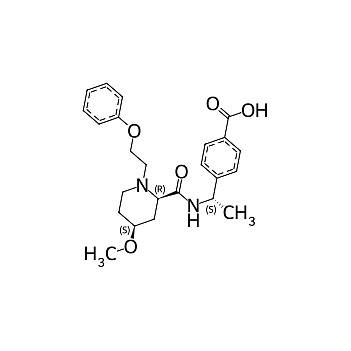 CO[C@H]1CCN(CCOc2ccccc2)[C@@H](C(=O)N[C@@H](C)c2ccc(C(=O)O)cc2)C1